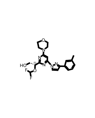 Cc1cccc(-c2ccn(-c3cc(N4CCOCC4)nc([C@@H](CO)OC(F)F)n3)n2)c1